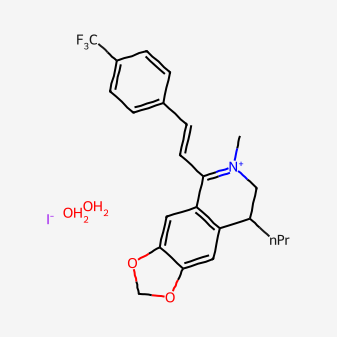 CCCC1C[N+](C)=C(C=Cc2ccc(C(F)(F)F)cc2)c2cc3c(cc21)OCO3.O.O.[I-]